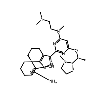 C[C@H](Oc1cc(N(C)CCN(C)C)nc(-c2noc3c2CCC[C@@]32CCCc3sc(N)c(C#N)c32)n1)[C@@H]1CCCN1C